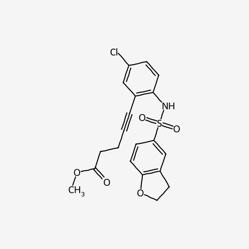 COC(=O)CCC#Cc1cc(Cl)ccc1NS(=O)(=O)c1ccc2c(c1)CCO2